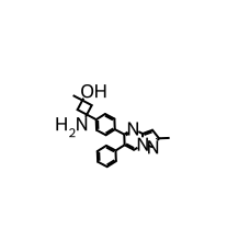 Cc1cc2nc(-c3ccc(C4(N)CC(C)(O)C4)cc3)c(-c3ccccc3)cn2n1